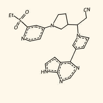 CCS(=O)(=O)c1cc(N2CCC(C(CC#N)n3ccc(-c4ncnc5[nH]ccc45)c3)C2)ccn1